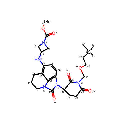 CC(C)(C)OC(=O)N1CC(Nc2ccc3c4c2CCCn4c(=O)n3C2CCC(=O)N(COCC[Si](C)(C)C)C2=O)C1